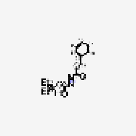 CC[Si](CC)(CC)OC(=O)/N=N/C(=O)OCc1ccccc1